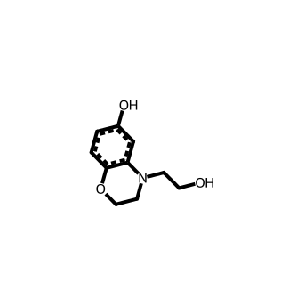 OCCN1CCOc2ccc(O)cc21